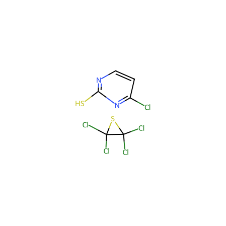 ClC1(Cl)SC1(Cl)Cl.Sc1nccc(Cl)n1